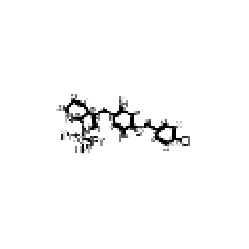 CC(C)[Si](C(C)C)(C(C)C)N1C=C(Cc2cc(F)c(OCc3ccc(Cl)cc3)cc2F)C2C=CC=NC21